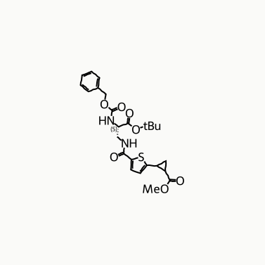 COC(=O)C1CC1c1ccc(C(=O)NC[C@H](NC(=O)OCc2ccccc2)C(=O)OC(C)(C)C)s1